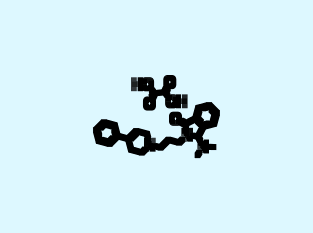 CN(C)C1c2ccccc2C(=O)N1CCCN1CC=C(c2ccccc2)CC1.O=C(O)C(=O)O